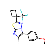 COc1ccc(-c2c(C)nc3sc(C4(C(F)(F)F)CCC4)nn23)cc1